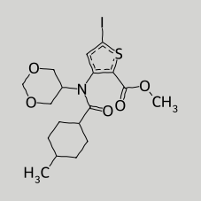 COC(=O)c1sc(I)cc1N(C(=O)C1CCC(C)CC1)C1COCOC1